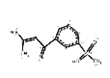 C/C(N)=C\C(=N)c1cncc(S(C)(=O)=O)c1